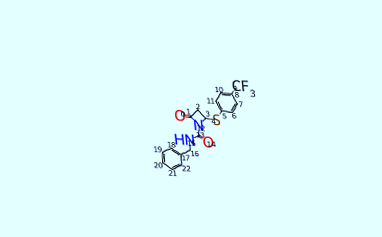 O=C1CC(Sc2ccc(C(F)(F)F)cc2)N1C(=O)NCc1ccccc1